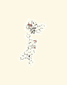 c1ccc(-c2cc(-c3cccc(-c4ccc5c(c4)Oc4cc(-c6ccccc6-c6ccccc6-c6nc(-c7ccccc7)cc(-c7ccccc7)n6)ccc4C54c5ccccc5-c5ccccc54)c3)nc(-c3cccc(-c4ccccc4-c4ccc5c(c4)Oc4ccccc4C54c5ccccc5-c5ccccc54)c3)n2)cc1